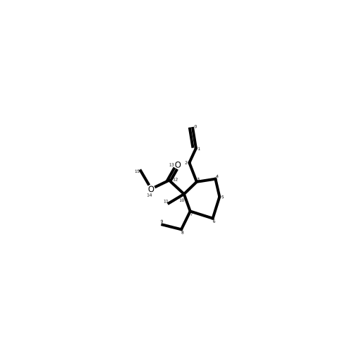 C=CCC1CCCC(CC)C1(C)C(=O)OC